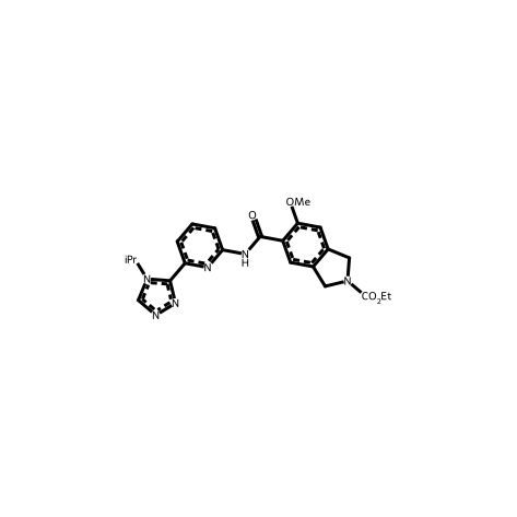 CCOC(=O)N1Cc2cc(OC)c(C(=O)Nc3cccc(-c4nncn4C(C)C)n3)cc2C1